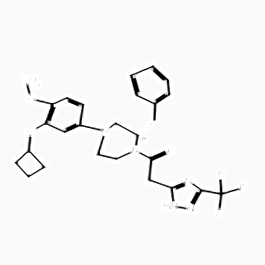 COc1ccc(N2CCN(C(=O)Cc3nc(C(F)(F)F)n[nH]3)[C@@H](Cc3ccccc3)C2)cc1OC1CCC1